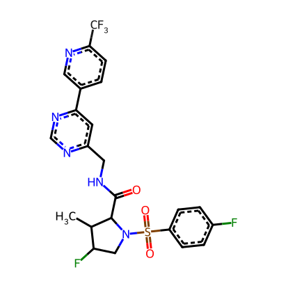 CC1C(F)CN(S(=O)(=O)c2ccc(F)cc2)C1C(=O)NCc1cc(-c2ccc(C(F)(F)F)nc2)ncn1